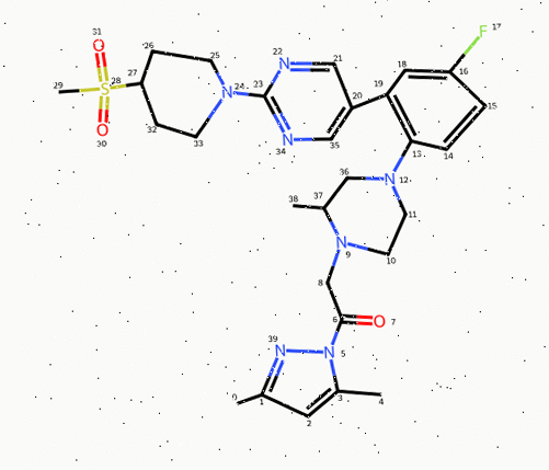 Cc1cc(C)n(C(=O)CN2CCN(c3ccc(F)cc3-c3cnc(N4CCC(S(C)(=O)=O)CC4)nc3)CC2C)n1